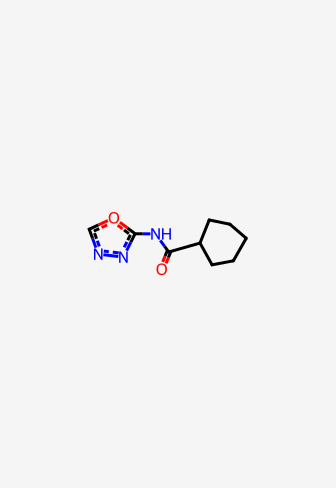 O=C(Nc1nnco1)C1CCCCC1